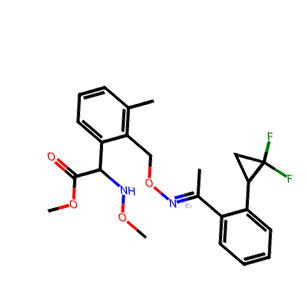 CONC(C(=O)OC)c1cccc(C)c1CO/N=C(\C)c1ccccc1C1CC1(F)F